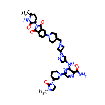 C=C1CC[C@@H](N2C(=O)c3ccc(N4CCC(CN5CC(n6cc(Nc7nc(N8CCC[C@@H](N9CCN(C)C9=O)C8)cnc7C(N)=O)cn6)C5)CC4)cc3C2=O)C(=O)N1